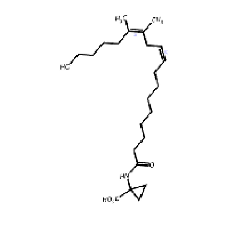 C/C(C/C=C\CCCCCCCC(=O)NC1(C(=O)O)CC1)=C(\C)CCCCO